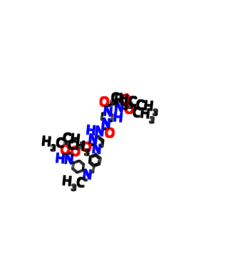 CCN(Cc1ccc(-n2ccc(NC(=O)N3CCN(C(=O)[C@H](C)NC(=O)OC(C)(C)C)CC3)nc2=O)cc1)[C@H]1CC[C@H](NC(=O)OC(C)(C)C)CC1